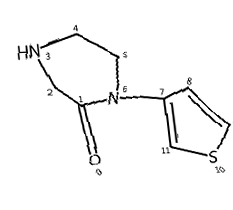 O=C1CNCCN1c1ccsc1